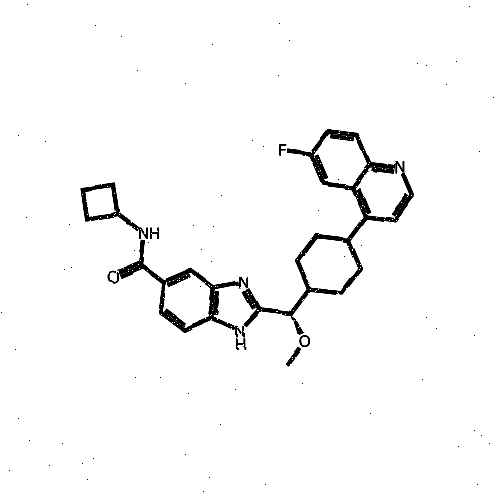 CO[C@@H](c1nc2cc(C(=O)NC3CCC3)ccc2[nH]1)C1CCC(c2ccnc3ccc(F)cc23)CC1